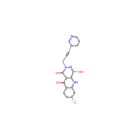 O=c1c2ccc(Cl)cc2[nH]c2c(O)nn(CC#Cc3cccnc3)c(=O)c12